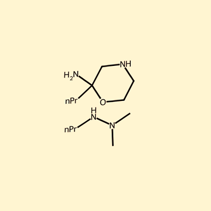 CCCC1(N)CNCCO1.CCCNN(C)C